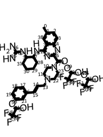 Cc1ccc2nc(C(=O)N3CCN(C/C=C/c4ccccc4)CC3)nc(NC3CCCCC3NC(=N)N)c2c1.O=C(O)C(F)(F)F.O=C(O)C(F)(F)F.O=C(O)C(F)(F)F